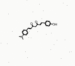 CN(C)c1ccc(C=CC(=O)CC(=O)C=Cc2ccc(O)cc2)cc1